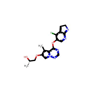 Cc1c(OC[C@H](C)O)cn2ncnc(Oc3cnc4c(c3F)=CCN=4)c12